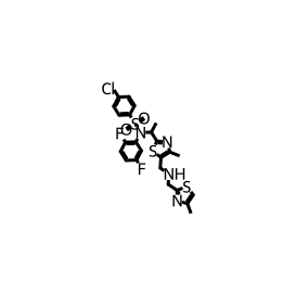 Cc1csc(CNCc2sc(C(C)N(c3cc(F)ccc3F)S(=O)(=O)c3ccc(Cl)cc3)nc2C)n1